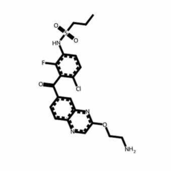 CCCS(=O)(=O)Nc1ccc(Cl)c(C(=O)c2ccc3ncc(OCCN)nc3c2)c1F